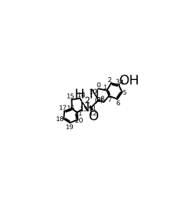 Cc1cc(O)ccc1C[C@@H](N)C(=O)N1CCc2ccccc21